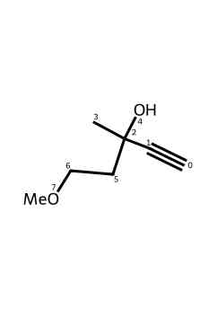 C#CC(C)(O)CCOC